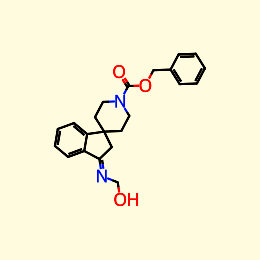 O=C(OCc1ccccc1)N1CCC2(CC1)C/C(=N\CO)c1ccccc12